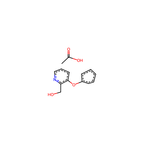 CC(=O)O.OCc1ncccc1Oc1ccccc1